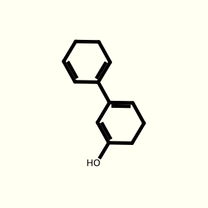 OC1=CC(C2=CCCC=C2)=CCC1